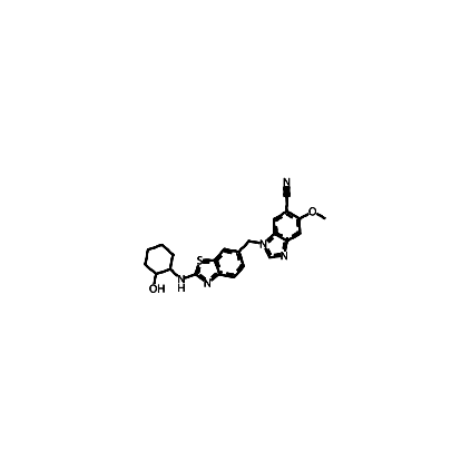 COc1cc2ncn(Cc3ccc4nc(NC5CCCCC5O)sc4c3)c2cc1C#N